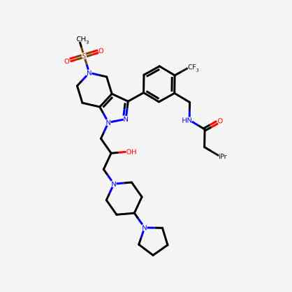 CC(C)CC(=O)NCc1cc(-c2nn(CC(O)CN3CCC(N4CCCC4)CC3)c3c2CN(S(C)(=O)=O)CC3)ccc1C(F)(F)F